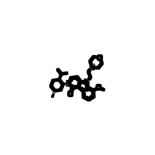 COc1cccc2c3c(=O)n([C@@H]4C[C@H](C)CC[C@H]4C(C)C)ccc3n(CCN3CCOCC3)c12